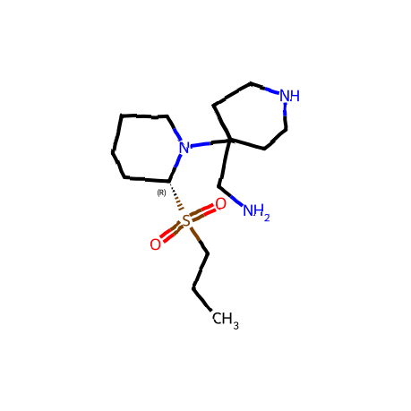 CCCS(=O)(=O)[C@@H]1CCCCN1C1(CN)CCNCC1